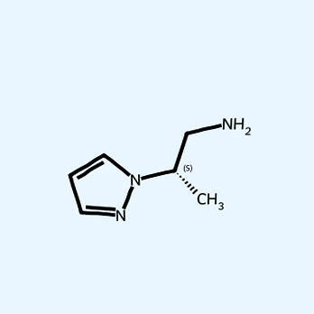 C[C@@H](CN)n1cccn1